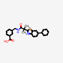 CC(C)(C(=O)NCc1cccc(C(=O)O)c1)c1nc2ccc(-c3ccccc3)cc2s1